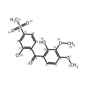 COc1ccc(C(=O)c2ccc(S(C)(=O)=O)cc2Cl)c(O)c1OC